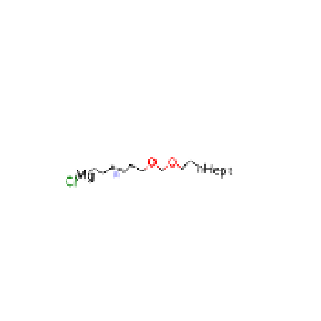 CCCCCCCCCOCOCC/C=C/C[CH2][Mg][Cl]